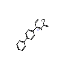 C=C/C(=N\C(=C)Cl)c1ccc(-c2ccccc2)cc1